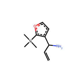 C=CC(N)c1ccoc1[Si](C)(C)C